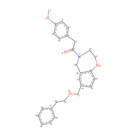 COc1ccc(CC(=O)N2CCOc3ccc(COCCc4ccccc4)cc3C2)cc1